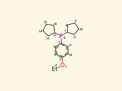 CCOc1ccc(P(C2CCCC2)C2CCCC2)cc1